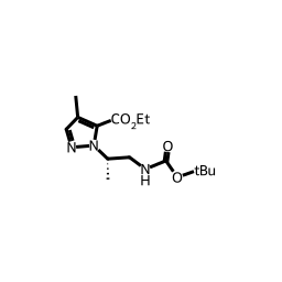 CCOC(=O)c1c(C)cnn1[C@@H](C)CNC(=O)OC(C)(C)C